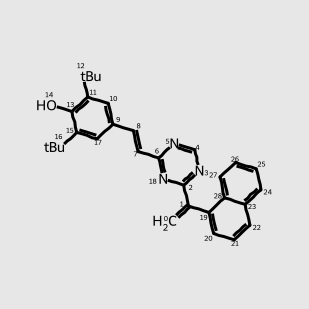 C=C(c1ncnc(C=Cc2cc(C(C)(C)C)c(O)c(C(C)(C)C)c2)n1)c1cccc2ccccc12